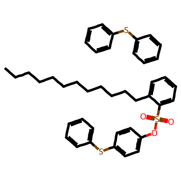 CCCCCCCCCCCCc1ccccc1S(=O)(=O)Oc1ccc(Sc2ccccc2)cc1.c1ccc(Sc2ccccc2)cc1